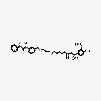 O=C(Nc1ccccc1)Nc1cccc(COCCCOCCCCCNC[C@H](O)c2ccc(O)c(CO)c2)c1